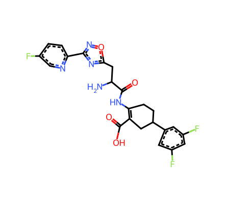 NC(Cc1nc(-c2ccc(F)cn2)no1)C(=O)NC1=C(C(=O)O)CC(c2cc(F)cc(F)c2)CC1